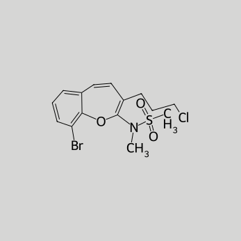 CN(C1=C(CCCCl)C=Cc2cccc(Br)c2O1)S(C)(=O)=O